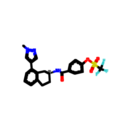 Cn1cc(-c2cccc3c2C[C@H](NC(=O)c2ccc(OS(=O)(=O)C(F)(F)F)cc2)CC3)cn1